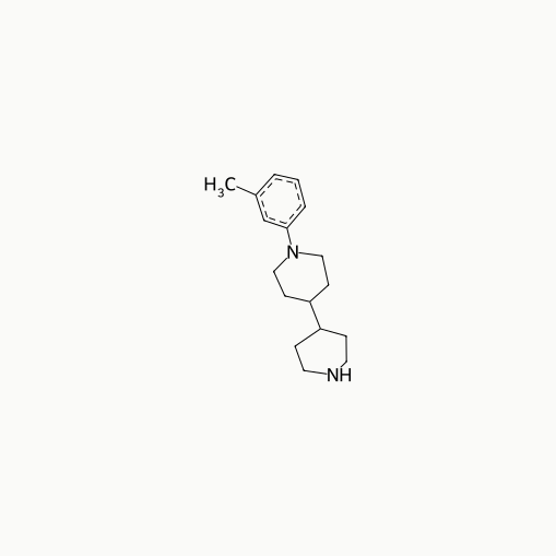 Cc1cccc(N2CCC(C3CCNCC3)CC2)c1